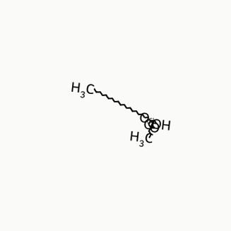 CCCCCCCCCCCCCCCCCCOC[C@H](CO)OC(=O)CCC